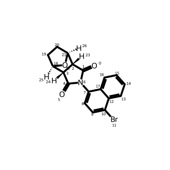 O=C1[C@@H]2[C@H](C(=O)N1c1ccc(Br)c3ccccc13)[C@H]1CC[C@@H]2O1